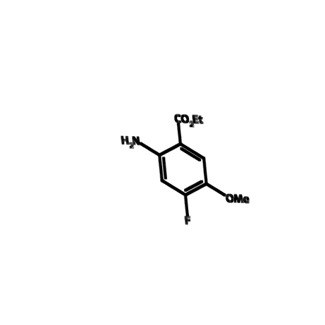 CCOC(=O)c1cc(OC)c(F)cc1N